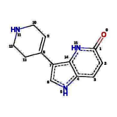 O=c1ccc2[nH]cc(C3=CCNCC3)c2[nH]1